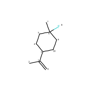 C=C(C)C1CCC(C)(F)CC1